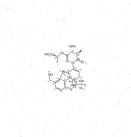 CC(=O)O[C@@H](C(=O)O[C@@H](C)C(=O)O)[C@@H](C)C(=O)OC1=CC[C@@]2(O)[C@H]3Cc4ccc(CO)c5c4[C@@]2(CCN3C)[C@H]1O5